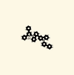 C1=CCCC(C2=CC(C3=CC=CCC3)NC(N3C4=C(C(C5=CC6C7=C(CCC=C7)N(C7C=CC=C(C8=CC=CCC8)C7)C6C=C5)CCC4)C4C=CC=CC43)=C2)=C1